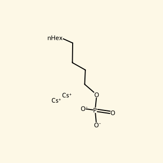 CCCCCCCCCCOP(=O)([O-])[O-].[Cs+].[Cs+]